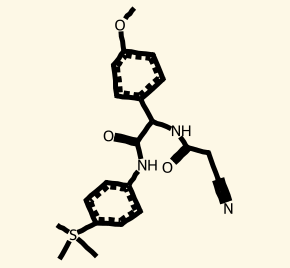 COc1ccc(C(NC(=O)CC#N)C(=O)Nc2ccc(S(C)(C)C)cc2)cc1